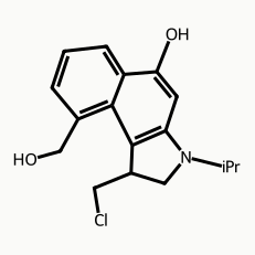 CC(C)N1CC(CCl)c2c1cc(O)c1cccc(CO)c21